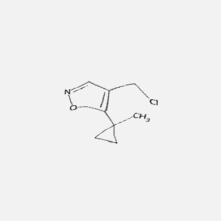 CC1(c2oncc2CCl)CC1